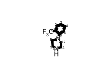 FC(F)(F)c1ccccc1N1[CH]CNCC1